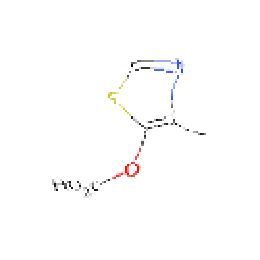 Cc1ncsc1OC(=O)O